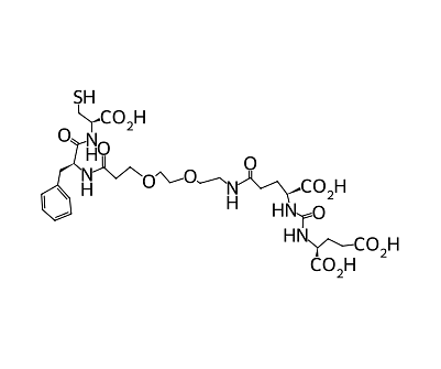 O=C(O)CC[C@H](NC(=O)N[C@@H](CCC(=O)NCCOCCOCCC(=O)N[C@@H](Cc1ccccc1)C(=O)N[C@@H](CS)C(=O)O)C(=O)O)C(=O)O